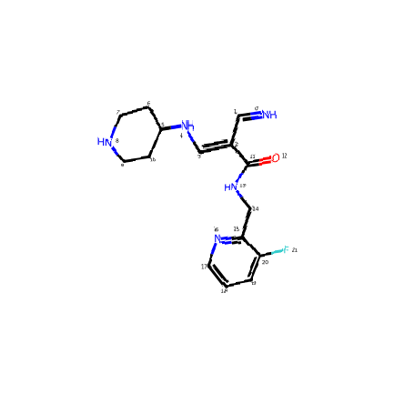 N=C/C(=C\NC1CCNCC1)C(=O)NCc1ncccc1F